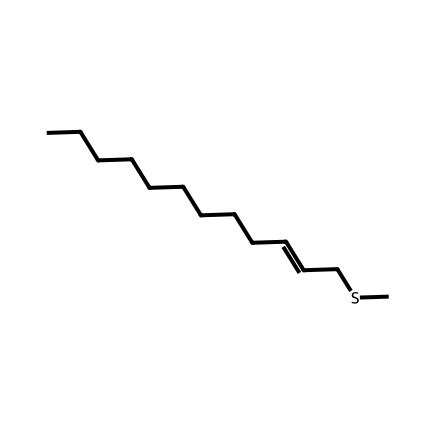 CCCCCCCCCC=CCSC